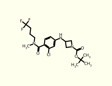 CN(CCCC(F)(F)F)C(=O)c1ccc(NC2CN(C(=O)OC(C)(C)C)C2)cc1Cl